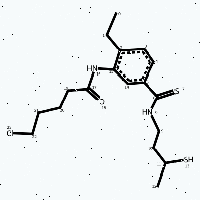 CCc1ccc(C(=S)NCCC(C)S)cc1NC(=O)CCCCCl